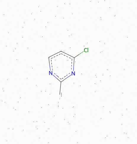 [C]c1nccc(Cl)n1